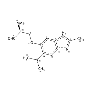 CN[C@H](C=O)COc1cc2[nH]c(C)nc2cc1N(C)C